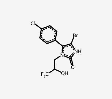 O=c1[nH]c(Br)c(-c2ccc(Cl)cc2)n1CC(O)C(F)(F)F